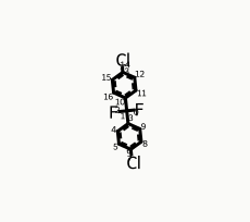 FC(F)(c1ccc(Cl)cc1)c1ccc(Cl)cc1